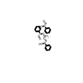 NON(N=O)c1ccccc1.O=NN(O)c1ccccc1.O=NN(O)c1ccccc1